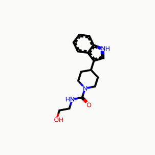 O=C(NCCO)N1CCC(c2c[nH]c3ccccc23)CC1